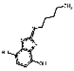 CCCCCN=c1sc2c(O)ccc(O)c2s1